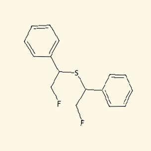 FCC(SC(CF)c1ccccc1)c1ccccc1